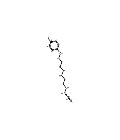 Cc1ccc(OCCCCCCCCN=[N+]=[N-])cc1